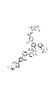 CC(C)(C)c1cc(-c2cc(-c3ccc(C(=O)N4CC(C(C)(C)O)C4)cc3Cl)cnc2CC(C)(C)c2cc(-c3cncc(-c4ccc(C(=O)N5CCC5C(C)(C)O)cc4Cl)c3)ccn2)ccn1